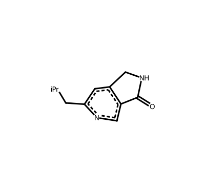 CC(C)Cc1cc2c(cn1)C(=O)NC2